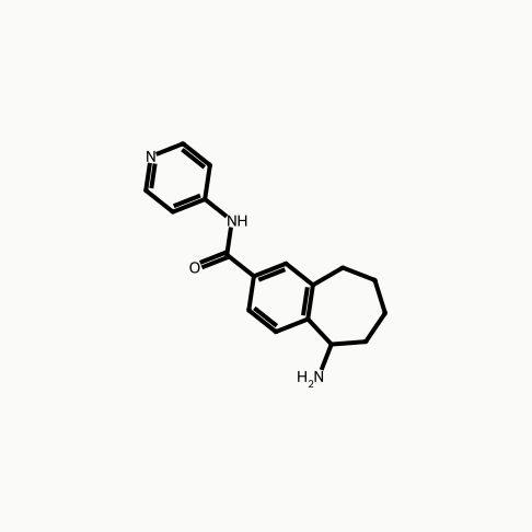 NC1CCCCc2cc(C(=O)Nc3ccncc3)ccc21